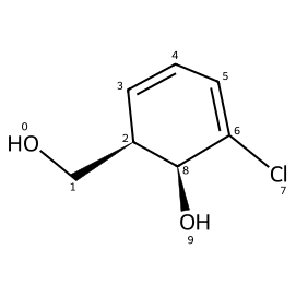 OC[C@H]1C=CC=C(Cl)[C@H]1O